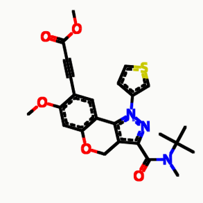 COC(=O)C#Cc1cc2c(cc1OC)OCc1c(C(=O)N(C)C(C)(C)C)nn(-c3ccsc3)c1-2